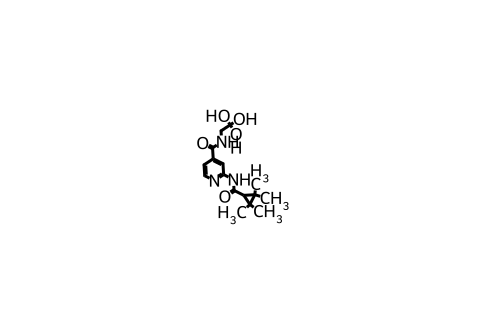 CC1(C)C(C(=O)Nc2cc(C(=O)NCC(O)(O)O)ccn2)C1(C)C